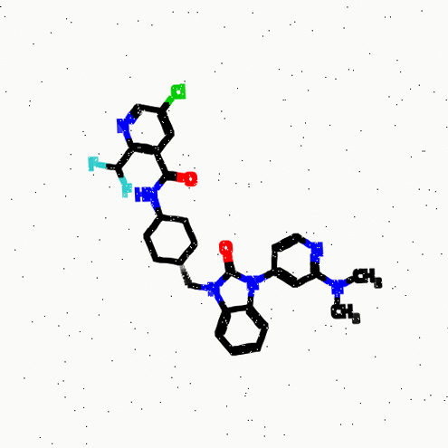 CN(C)c1cc(-n2c(=O)n(C[C@H]3CC[C@H](NC(=O)c4cc(Cl)cnc4C(F)F)CC3)c3ccccc32)ccn1